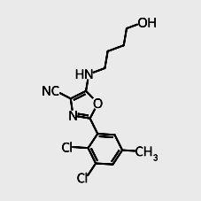 Cc1cc(Cl)c(Cl)c(-c2nc(C#N)c(NCCCCO)o2)c1